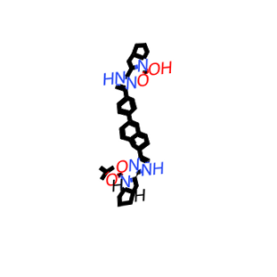 CC(C)(C)OC(=O)N1[C@H](c2nc(-c3ccc4cc(-c5ccc(-c6c[nH]c(C7CC8CCCC8N7C(=O)O)n6)cc5)ccc4c3)c[nH]2)C[C@@H]2CCC[C@@H]21